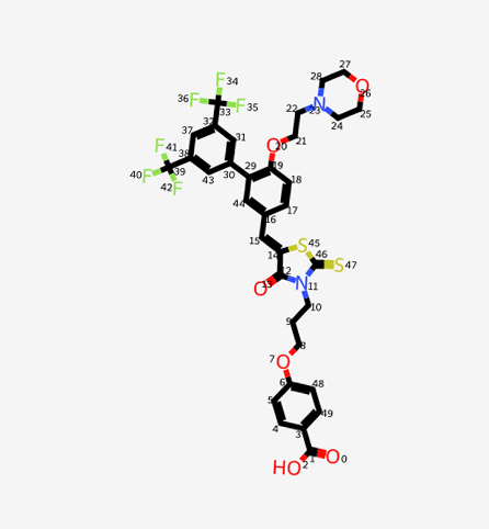 O=C(O)c1ccc(OCCCN2C(=O)C(=Cc3ccc(OCCN4CCOCC4)c(-c4cc(C(F)(F)F)cc(C(F)(F)F)c4)c3)SC2=S)cc1